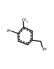 CC(C)Cc1ccc(C(C)C)c(C(F)(F)F)c1